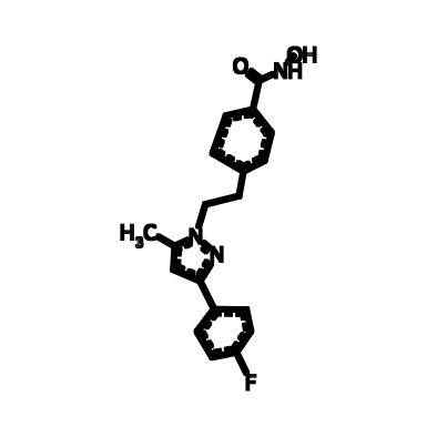 Cc1cc(-c2ccc(F)cc2)nn1CCc1ccc(C(=O)NO)cc1